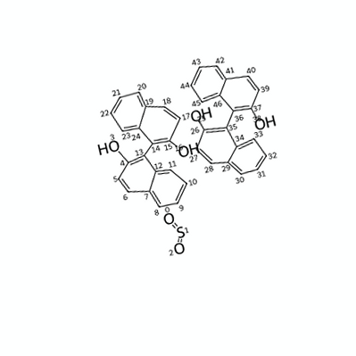 O=S=O.Oc1ccc2ccccc2c1-c1c(O)ccc2ccccc12.Oc1ccc2ccccc2c1-c1c(O)ccc2ccccc12